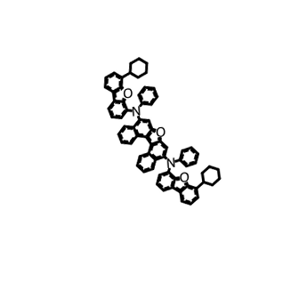 c1ccc(N(c2cc3oc4cc(N(c5ccccc5)c5cccc6c5oc5c(C7CCCCC7)cccc56)c5ccccc5c4c3c3ccccc23)c2cccc3c2oc2c(C4CCCCC4)cccc23)cc1